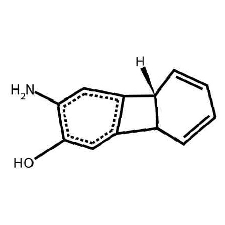 Nc1cc2c(cc1O)C1C=CC=C[C@@H]21